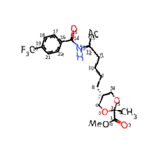 COC(=O)[C@]1(C)OC[C@H](CCCCC(NC(=O)c2ccc(C(F)(F)F)cc2)C(C)=O)CO1